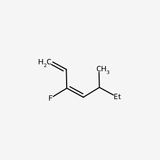 C=C/C(F)=C\C(C)CC